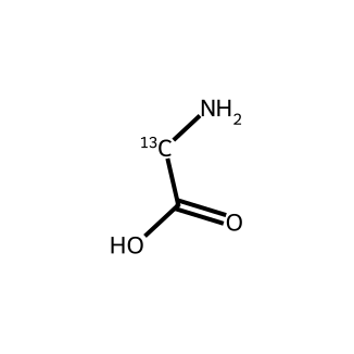 N[13CH2]C(=O)O